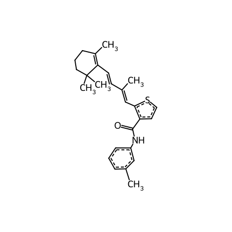 CC1=C(C=C/C(C)=C/c2sccc2C(=O)Nc2cccc(C)c2)C(C)(C)CCC1